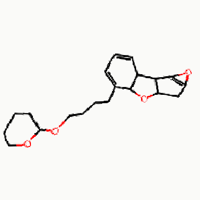 C1=CC2C(OC3CC4=C(O4)C32)C(CCCCOC2CCCCO2)=C1